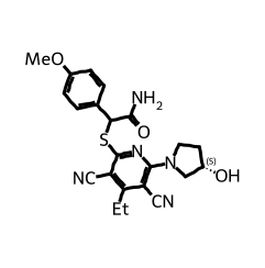 CCc1c(C#N)c(SC(C(N)=O)c2ccc(OC)cc2)nc(N2CC[C@H](O)C2)c1C#N